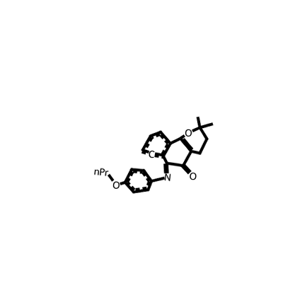 CCCOc1ccc(/N=C2/C(=O)C3=C(OC(C)(C)CC3)c3ccccc32)cc1